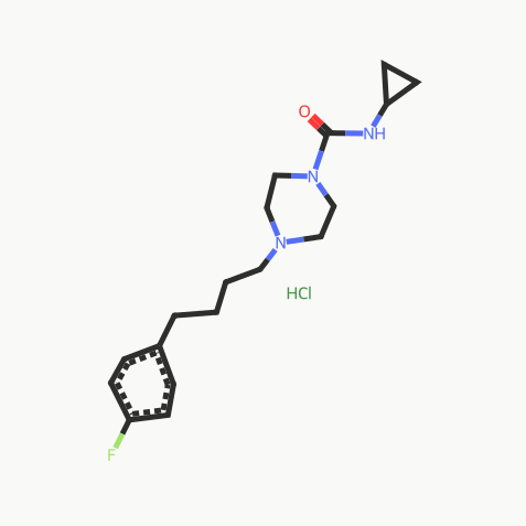 Cl.O=C(NC1CC1)N1CCN(CCCCc2ccc(F)cc2)CC1